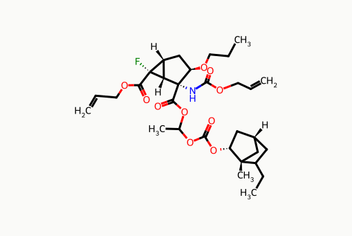 C=CCOC(=O)N[C@@]1(C(=O)OC(C)OC(=O)O[C@@H]2C[C@@H]3CC(CC)[C@@]2(C)C3)[C@H](OCCC)C[C@@H]2[C@H]1[C@@]2(F)C(=O)OCC=C